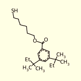 CCC(C)(C)c1cc(C(=O)OCCCCCCS)cc(C(C)(C)CC)c1